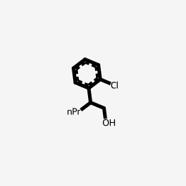 CCCC(CO)c1ccccc1Cl